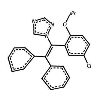 CC(C)Oc1ccc(Cl)cc1C(=C(c1ccccc1)c1ccccc1)n1cncn1